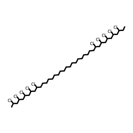 CCC(Cl)CC(Cl)CC(Cl)CC(Cl)CC(Cl)CCCCCCCCCCCCCCCCCCCC(Cl)CC(Cl)CC(Cl)CC(Cl)CC(C)Cl